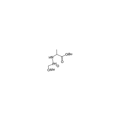 COC[PH](=O)NC(C)C(=O)OCC(C)C